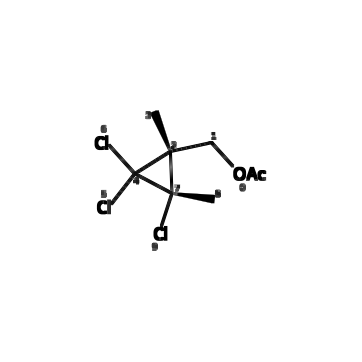 CC(=O)OC[C@@]1(C)C(Cl)(Cl)[C@@]1(C)Cl